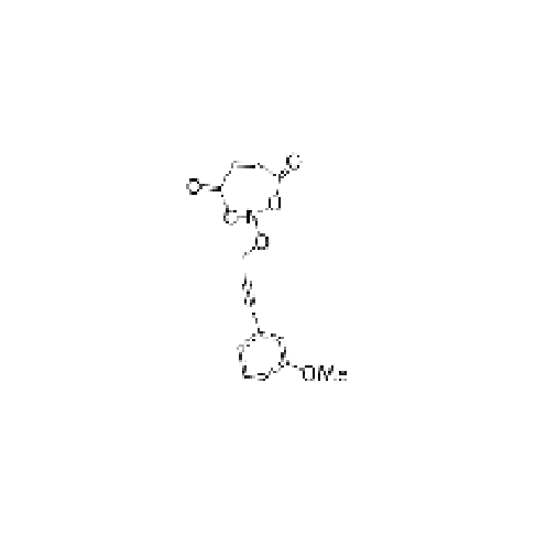 COc1cccc(C#CCON2OC(=O)C=CC(=O)O2)c1